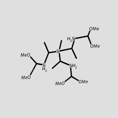 COC(OC)[SiH2]C(C)[Si](C)(C(C)[SiH2]C(OC)OC)C(C)[SiH2]C(OC)OC